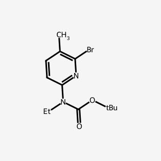 CCN(C(=O)OC(C)(C)C)c1ccc(C)c(Br)n1